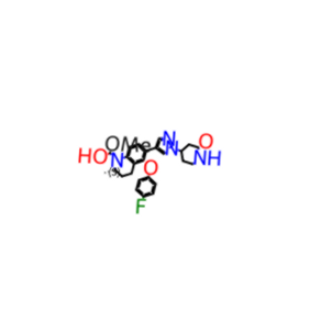 COC(O)N1c2ccc(-c3cnn(C4CCNC(=O)C4)c3)c(Oc3ccc(F)cc3)c2CC[C@@H]1C